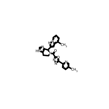 Cc1ccc(-c2nnc(C(=O)N3CCc4[nH]cnc4C3c3cc4c(C)cccn4n3)o2)nc1